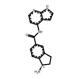 N[C@@H]1CCc2cc(C(=O)Nc3ccnc4[nH]ccc34)ccc21